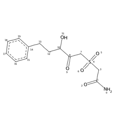 NC(=O)CS(=O)(=O)CC(=O)C(O)[CH]Cc1ccccc1